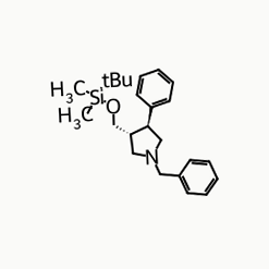 CC(C)(C)[Si](C)(C)OC[C@H]1CN(Cc2ccccc2)C[C@@H]1c1ccccc1